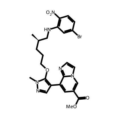 COC(=O)c1cc(-c2cnn(C)c2OCCC[C@@H](C)CNc2cc(Br)ccc2[N+](=O)[O-])c2nccn2c1